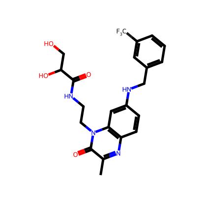 Cc1nc2ccc(NCc3cccc(C(F)(F)F)c3)cc2n(CCNC(=O)C(O)CO)c1=O